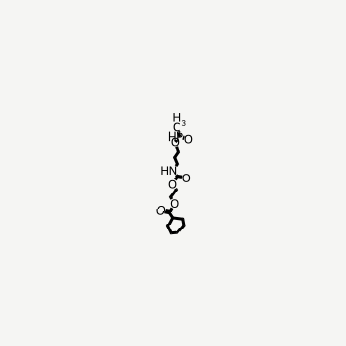 C[PH](=O)OCCCNC(=O)OCCOC(=O)C1CCCCC1